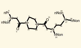 [CH2]CCN(CCCCCCCCC)CC(=O)N1CCN(C(=O)CN(CCCCCCCCC)CCN(CCCCCCCCC)CCCCCCCCC)CC1